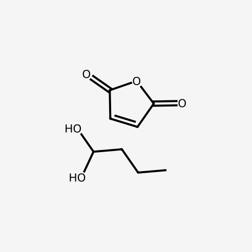 CCCC(O)O.O=C1C=CC(=O)O1